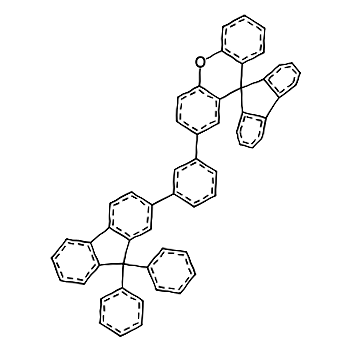 c1ccc(C2(c3ccccc3)c3ccccc3-c3ccc(-c4cccc(-c5ccc6c(c5)C5(c7ccccc7O6)c6ccccc6-c6ccccc65)c4)cc32)cc1